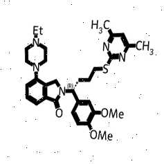 CCN1CCN(c2cccc3c2CN([C@H](CCCSc2nc(C)cc(C)n2)c2ccc(OC)c(OC)c2)C3=O)CC1